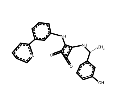 C[C@@H](Nc1c(Nc2cccc(-c3ccccn3)c2)c(=O)c1=O)c1cccc(O)c1